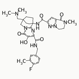 Cc1cc(CNC(=O)c2nc3n(c(=O)c2O)CC2(CN(C)C)CCC3(NC(=O)c3cc4n(n3)CCN(C)C4=O)CC2)ccc1F